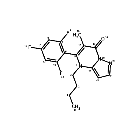 CCCCn1c(-c2c(F)cc(F)cc2F)c(C)c(=O)n2nccc12